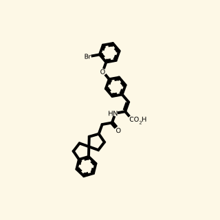 O=C(CC1CCC2(CCc3ccccc32)C1)N/C(=C\c1ccc(Oc2ccccc2Br)cc1)C(=O)O